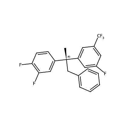 C[C@](Cc1ccccc1)(c1cc(F)cc(C(F)(F)F)c1)c1ccc(F)c(F)c1